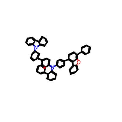 c1ccc(-c2ccccc2N(c2ccc(-c3cccc(-n4c5ccccc5c5ccccc54)c3)cc2)c2ccc(-c3ccc(-c4ccccc4)c4oc5ccccc5c34)cc2)cc1